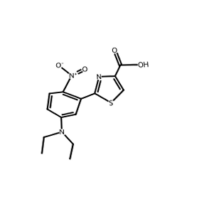 CCN(CC)c1ccc([N+](=O)[O-])c(-c2nc(C(=O)O)cs2)c1